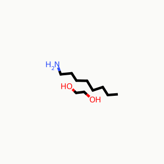 CCCCCCCCN.OCCO